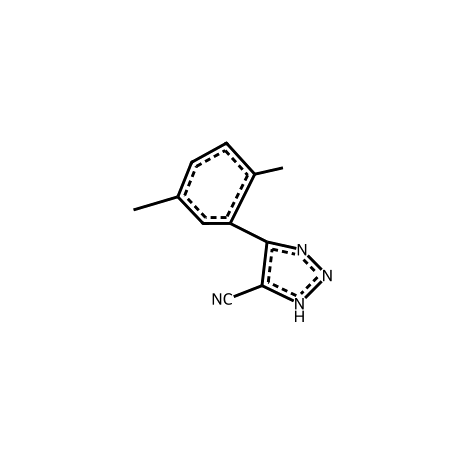 Cc1ccc(C)c(-c2nn[nH]c2C#N)c1